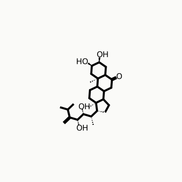 C=C(C(C)C)[C@@H](O)[C@H](O)[C@@H](C)[C@H]1CCC2C3CC(=O)C4C[C@H](O)[C@H](O)C[C@]4(C)C3CC[C@@]21C